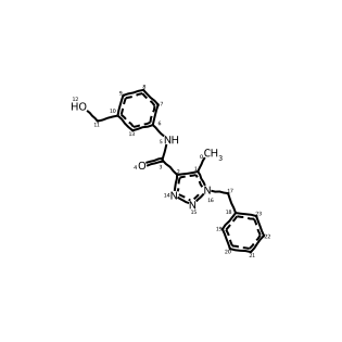 Cc1c(C(=O)Nc2cccc(CO)c2)nnn1Cc1ccccc1